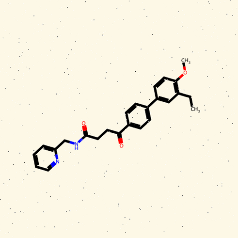 CCc1cc(-c2ccc(C(=O)CCC(=O)NCc3ccccn3)cc2)ccc1OC